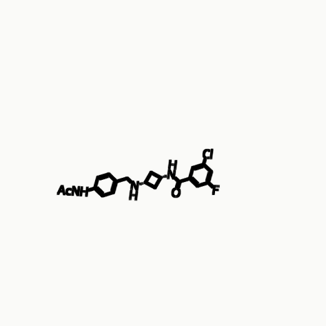 CC(=O)Nc1ccc(CN[C@H]2C[C@@H](NC(=O)c3cc(F)cc(Cl)c3)C2)cc1